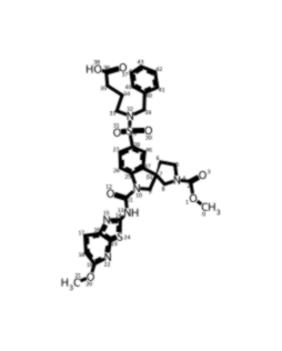 COC(=O)N1CC[C@@]2(C1)CN(C(=O)Nc1nc3ccc(OC)nc3s1)c1ccc(S(=O)(=O)N(CCCC(=O)O)Cc3ccccc3)cc12